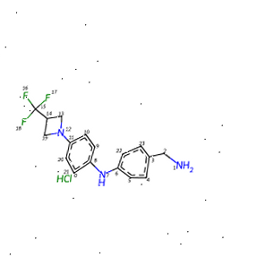 Cl.NCc1ccc(Nc2ccc(N3CC(C(F)(F)F)C3)cc2)cc1